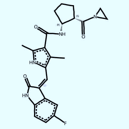 Cc1[nH]c(/C=C2\C(=O)Nc3ccc(F)cc32)c(C)c1C(=O)N[C@@H]1CCC[C@@H]1C(=O)N1CC1